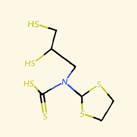 S=C(S)N(CC(S)CS)C1SCCS1